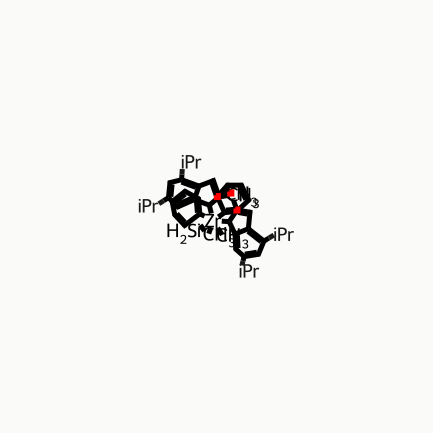 CC1=Cc2c(C(C)C)cc(C(C)C)cc2[CH]1[Zr]([CH3])([CH3])(=[SiH2])([c]1ccccc1)([c]1ccccc1)[CH]1C(C)=Cc2c(C(C)C)cc(C(C)C)cc21